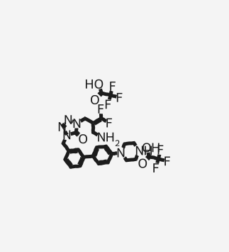 NCC(Cn1nnn(Cc2cccc(-c3ccc(N4CCNCC4)cc3)c2)c1=O)=C(F)F.O=C(O)C(F)(F)F.O=C(O)C(F)(F)F